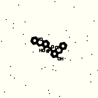 O=S(=O)(c1ccc(O)c(Cc2ccccc2)c1O)c1ccc(O)c(Cc2ccccc2)c1O